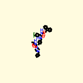 CCC(=O)N[C@H](Cc1ccc(CNC(=O)[C@@H](NC(=O)OCC2c3ccccc3-c3ccccc32)C2CCC(F)(F)CC2)cc1)C(=O)N1CCN(Cc2ccccc2)CC1